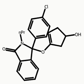 CCCN1C(=O)c2ccccc2C1(OC1=CCC(O)C1)c1ccc(Cl)cc1